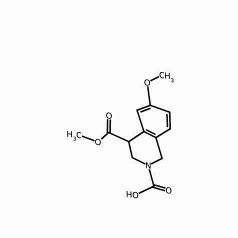 COC(=O)C1CN(C(=O)O)Cc2ccc(OC)cc21